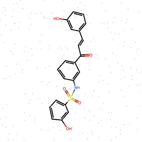 O=C(/C=C/c1cccc(O)c1)c1cccc(NS(=O)(=O)c2cccc(O)c2)c1